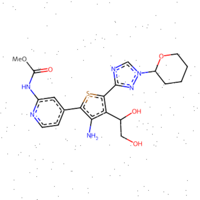 COC(=O)Nc1cc(-c2sc(-c3ncn(C4CCCCO4)n3)c(C(O)CO)c2N)ccn1